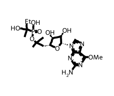 CCC(C)(O)P(=O)(O)OC(C)(C)C[C@H]1O[C@@H](n2cnc3c(OC)nc(N)nc32)[C@H](O)[C@@H]1O